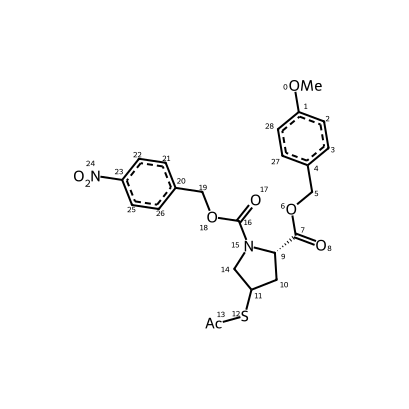 COc1ccc(COC(=O)[C@@H]2CC(SC(C)=O)CN2C(=O)OCc2ccc([N+](=O)[O-])cc2)cc1